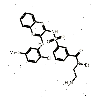 CCN(CCN)C(=O)c1cccc(S(=O)(=O)Nc2nc3ccccc3nc2Nc2cc(OC)ccc2Cl)c1